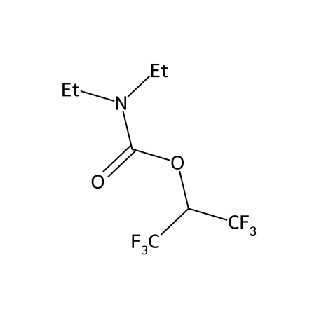 CCN(CC)C(=O)OC(C(F)(F)F)C(F)(F)F